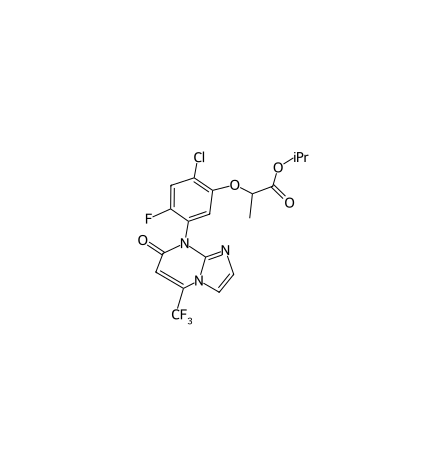 CC(C)OC(=O)C(C)Oc1cc(-n2c(=O)cc(C(F)(F)F)n3ccnc23)c(F)cc1Cl